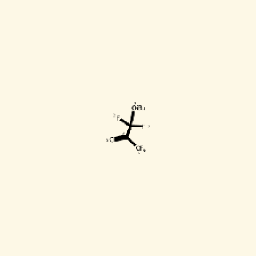 CC(C)COC(F)(F)C(=O)C(F)(F)F